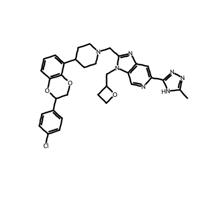 Cc1nnc(-c2cc3nc(CN4CCC(c5cccc6c5OCC(c5ccc(Cl)cc5)O6)CC4)n(CC4CCO4)c3cn2)[nH]1